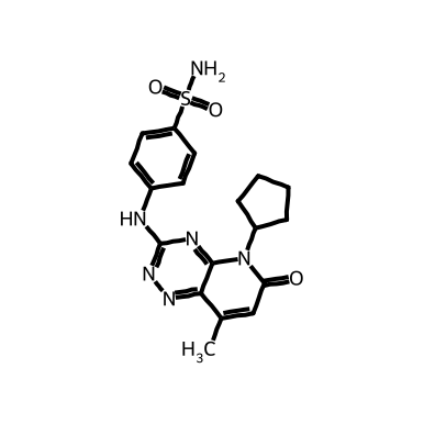 Cc1cc(=O)n(C2CCCC2)c2nc(Nc3ccc(S(N)(=O)=O)cc3)nnc12